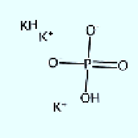 O=P([O-])([O-])O.[K+].[K+].[KH]